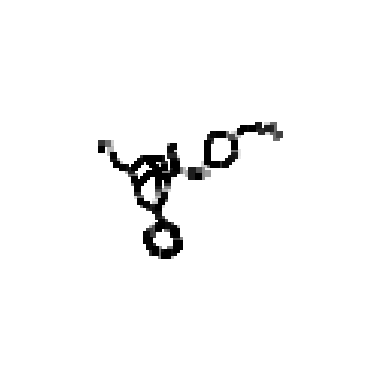 NC[C@H]1CC[C@H](NC(=S)C23CC4CC(c5ccccc5)(CC(C2)C4CCl)C3)CC1